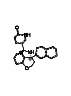 O=C(N[C@]1(c2ccc3ccccc3c2)CCOc2cccnc21)c1ccc(=O)[nH]c1